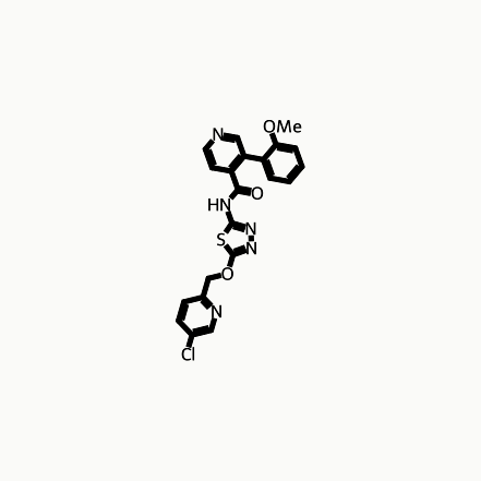 COc1ccccc1-c1cnccc1C(=O)Nc1nnc(OCc2ccc(Cl)cn2)s1